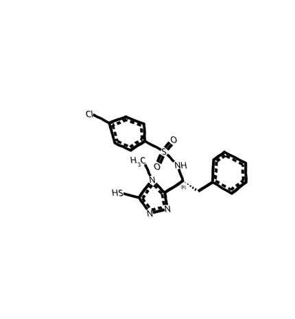 Cn1c(S)nnc1[C@@H](Cc1ccccc1)NS(=O)(=O)c1ccc(Cl)cc1